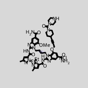 CCn1nc(C)cc1C(=O)Nc1nc2cc(C(N)=O)cc(OC)c2n1C/C=C/Cn1c(NC(=O)c2cc(C)nn2CC)nc2cc(C(N)=O)cc(OCC#CC3CCN(C(=O)N4CCNCC4)CC3)c21.Cl